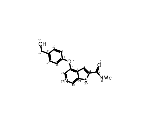 CNC(=O)c1cc2c(Oc3ccc(CO)cc3)cncc2s1